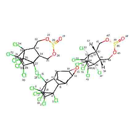 ClC1=C(Cl)C2(Cl)C3C4CC(C5OC45)C3C1(Cl)C2(Cl)Cl.O=S1OCC2C(CO1)C1(Cl)C(Cl)=C(Cl)C2(Cl)C1(Cl)Cl.O=[S@]1OC[C@@H]2[C@H](CO1)[C@@]1(Cl)C(Cl)=C(Cl)[C@]2(Cl)C1(Cl)Cl